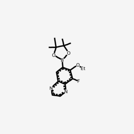 CCOc1c(B2OC(C)(C)C(C)(C)O2)cc2nccnc2c1F